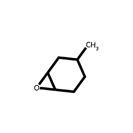 C[C]1CCC2OC2C1